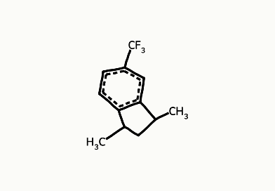 CC1CC(C)c2cc(C(F)(F)F)ccc21